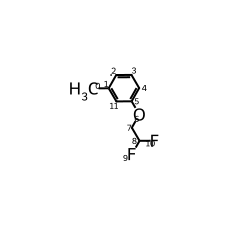 Cc1[c]ccc(OCC(F)F)c1